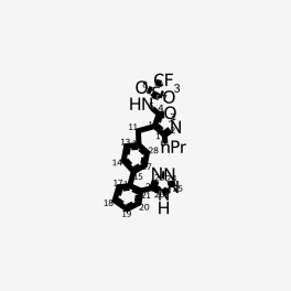 CCCc1noc(NS(=O)(=O)C(F)(F)F)c1Cc1ccc(-c2ccccc2-c2nnn[nH]2)cc1